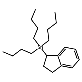 CCC[CH2][Sn]([CH2]CCC)([CH2]CCC)[CH]1CCc2ccccc21